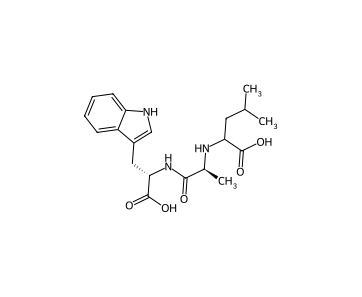 CC(C)CC(N[C@@H](C)C(=O)N[C@@H](Cc1c[nH]c2ccccc12)C(=O)O)C(=O)O